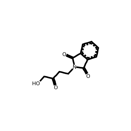 O=C(CO)CCN1C(=O)c2ccccc2C1=O